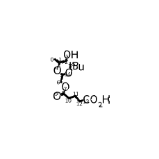 CC(CO)OC(COC(=O)CCCC(=O)O)OC(C)(C)C